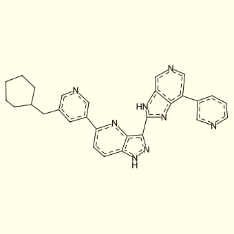 c1cncc(-c2cncc3[nH]c(-c4n[nH]c5ccc(-c6cncc(CC7CCCCC7)c6)nc45)nc23)c1